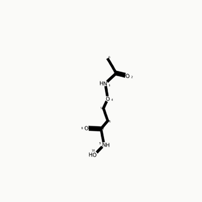 CC(=O)NOCCC(=O)NO